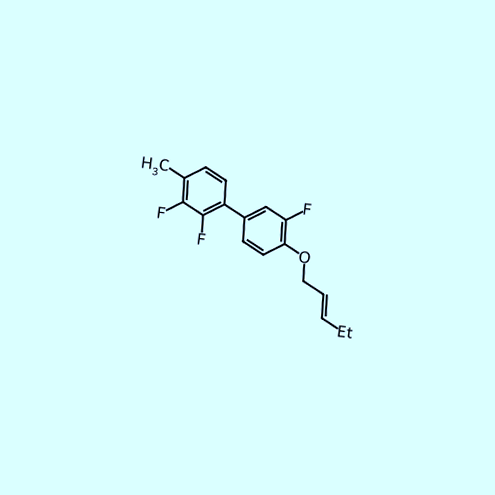 CCC=CCOc1ccc(-c2ccc(C)c(F)c2F)cc1F